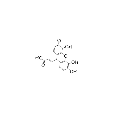 O=C(O)C=CC1C2=C(Oc3c1ccc(O)c3O)C(O)C(=O)C=C2